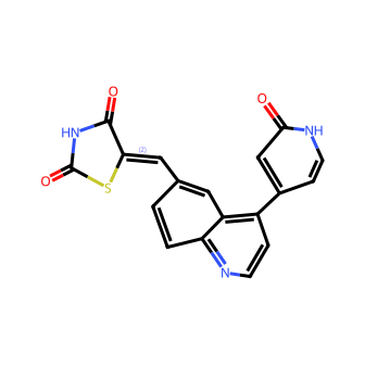 O=C1NC(=O)/C(=C/c2ccc3nccc(-c4cc[nH]c(=O)c4)c3c2)S1